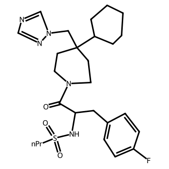 CCCS(=O)(=O)NC(Cc1ccc(F)cc1)C(=O)N1CCC(Cn2cncn2)(C2CCCCC2)CC1